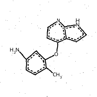 Cc1ccc(N)cc1Oc1ccnc2[nH]ccc12